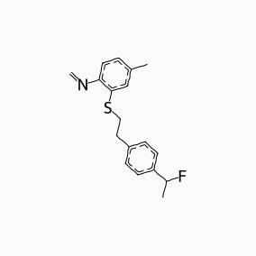 C=Nc1ccc(C)cc1SCCc1ccc(C(C)F)cc1